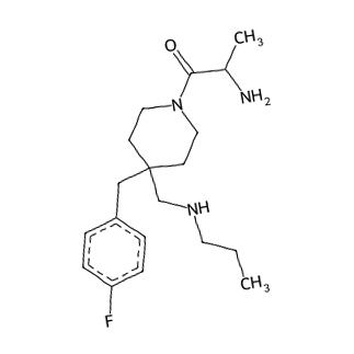 CCCNCC1(Cc2ccc(F)cc2)CCN(C(=O)C(C)N)CC1